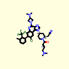 Cc1cccc(-c2c(Cl)cc3c(nc(N4CC(N(C)C)C4)c4ncn([C@H]5CCN(C(=O)/C=C/CN(C)C)[C@H](CC#N)C5)c43)c2F)c1C(F)(F)F